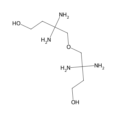 NC(N)(CCO)COCC(N)(N)CCO